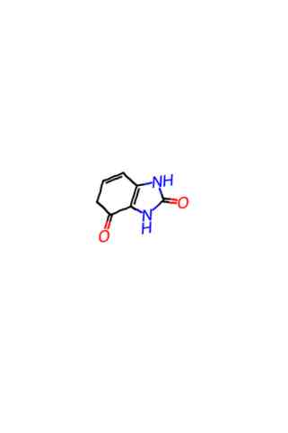 O=C1CC=Cc2[nH]c(=O)[nH]c21